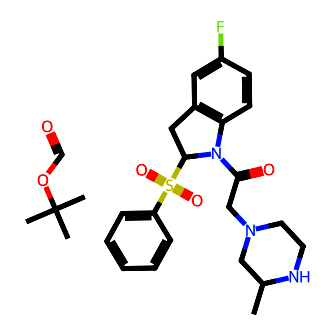 CC(C)(C)OC=O.CC1CN(CC(=O)N2c3ccc(F)cc3CC2S(=O)(=O)c2ccccc2)CCN1